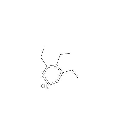 C.CCc1cccc(CC)c1CC